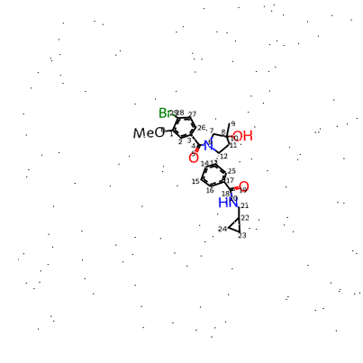 COc1cc(C(=O)N2CC(C)(O)C[C@@H]2c2cccc(C(=O)NCC3CC3)c2)ccc1Br